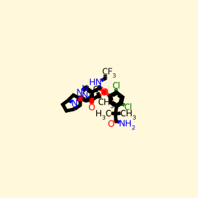 CC(C)(Oc1cc(C(C)(C)C(N)=O)c(Cl)cc1Cl)C(=O)NC1CC2CCC(C1)N2c1ccc(C(=O)NCC(F)(F)F)cn1